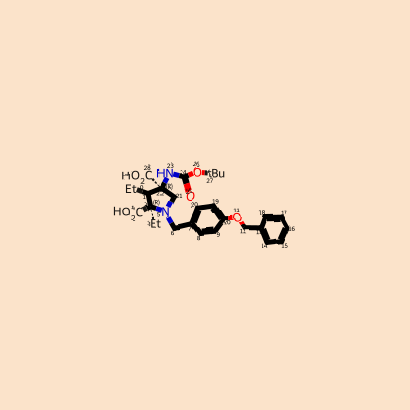 CCC1[C@](CC)(C(=O)O)N(Cc2ccc(OCc3ccccc3)cc2)C[C@@]1(NC(=O)OC(C)(C)C)C(=O)O